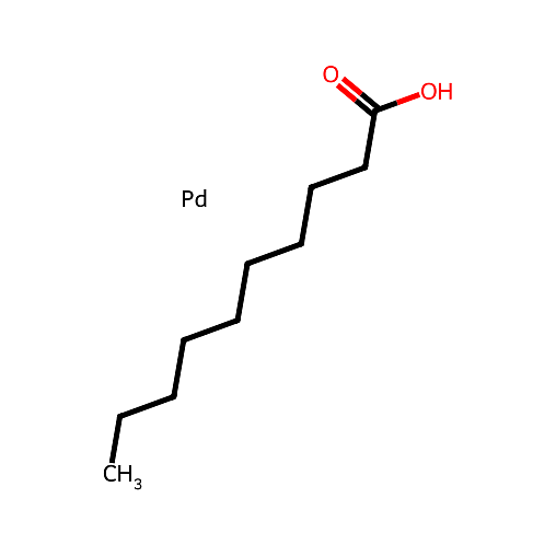 CCCCCCCCCC(=O)O.[Pd]